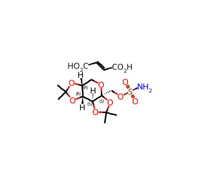 CC1(C)O[C@@H]2[C@@H](CO[C@@]3(COS(N)(=O)=O)OC(C)(C)O[C@@H]23)O1.O=C(O)C=CC(=O)O